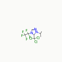 CC(C)N1N=CN(C(F)(F)C(F)(F)F)C1C(Cl)(Cl)Cl